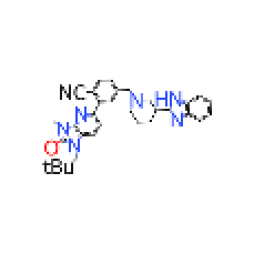 Cn1c(=O)n(CC(C)(C)C)c2ccc(-c3cc(CN4CCCC(c5nc6ccccc6[nH]5)C4)ccc3C#N)nc21